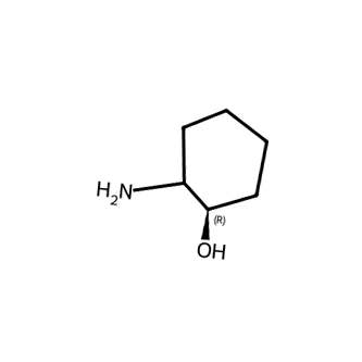 NC1CCCC[C@H]1O